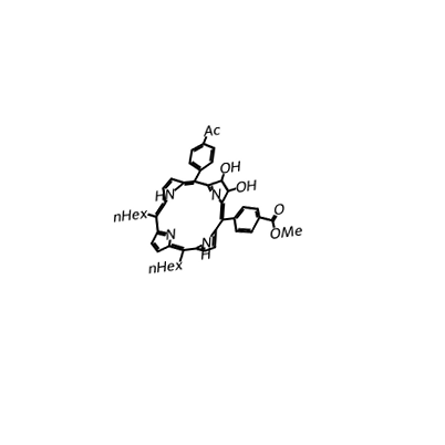 CCCCCCc1c2nc(c(CCCCCC)c3ccc([nH]3)c(-c3ccc(C(=O)OC)cc3)c3nc(c(-c4ccc(C(C)=O)cc4)c4ccc1[nH]4)C(O)C3O)C=C2